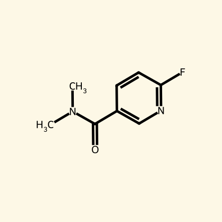 CN(C)C(=O)c1ccc(F)nc1